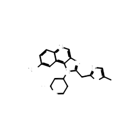 Cc1cnc(Cc2nc3cnc4ccc(C#N)cc4c3n2C2CCO[C@H](C)C2)s1